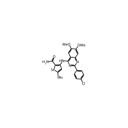 COc1cc2nc(-c3ccc(Cl)cc3)nc(Nc3cc(C(C)(C)C)[se]c3C(N)=O)c2cc1OC